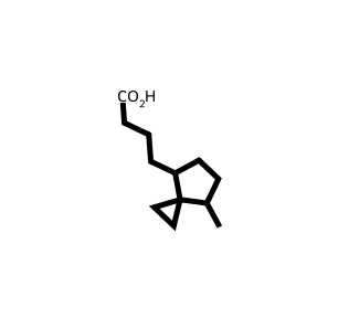 CC1CCC(CCCC(=O)O)C12CC2